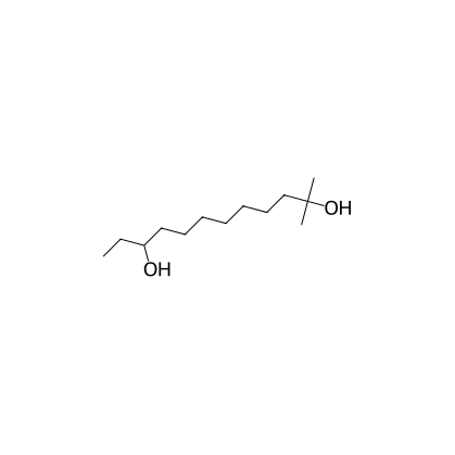 CCC(O)CCCCCCCC(C)(C)O